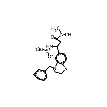 CN(C)C(=O)CC(N[S+]([O-])C(C)(C)C)c1ccc2c(c1)N(Cc1ccccc1)CCS2